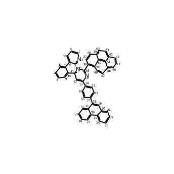 c1cncc(-c2ccccc2-c2cc(-c3ccc(-c4cc5ccccc5c5ccccc45)cc3)nc(-c3ccc4ccc5cccc6ccc3c4c56)n2)c1